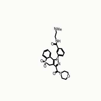 CNCCNC(=O)c1cccc(-n2nc(C(=O)N3CCOCC3)c3c2-c2ccccc2S(=O)(=O)C3)c1